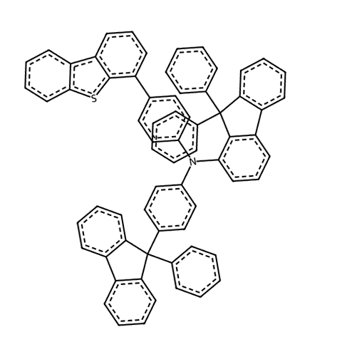 c1ccc(C2(c3ccc(N(c4ccc(-c5cccc6c5sc5ccccc56)cc4)c4cccc5c4C(c4ccccc4)(c4ccccc4)c4ccccc4-5)cc3)c3ccccc3-c3ccccc32)cc1